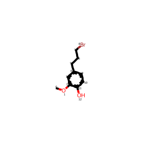 COc1cc(CCCBr)ccc1O